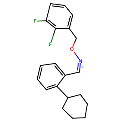 Fc1cccc(CO/N=[C]\c2ccccc2C2CCCCC2)c1F